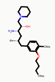 COCCCOc1cc(C[C@@H](C[C@H](N)[C@@H](O)CN2CCCCC2)C(C)C)ccc1OC